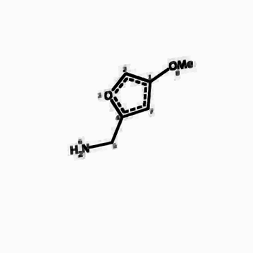 COc1coc(CN)c1